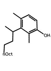 CCCCCCCCCCC(C)c1c(C)ccc(O)c1C